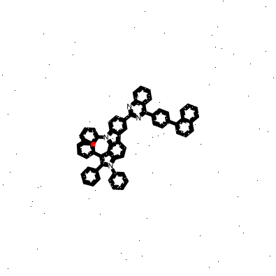 c1ccc(-c2c(-c3ccccc3)n(-c3ccccc3)c3ccc4c5cc(-c6nc(-c7ccc(-c8cccc9ccccc89)cc7)c7ccccc7n6)ccc5n(-c5ccccc5)c4c23)cc1